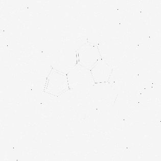 CCC1[CH]c2cccc(-c3ccccc3)c2C1.[Zr]